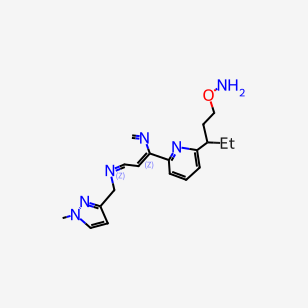 C=N/C(=C\C=N/Cc1ccn(C)n1)c1cccc(C(CC)CCON)n1